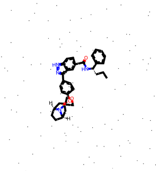 CCC[C@H](NC(=O)c1ccc2[nH]nc(-c3ccc(O[C@@H]4C[C@H]5CC[C@@H](C4)N5C4COC4)cc3)c2c1)c1ccccc1